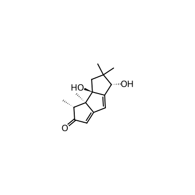 C[C@H]1C(=O)C=C2C=C3[C@@H](O)C(C)(C)C[C@@]3(O)[C@@]21C